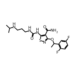 CC(C)NCCCNC(=O)Nc1snc(OC(C)c2cc(F)ccc2F)c1C(N)=O